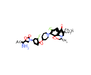 CC(=O)C(N)C1CN(c2ccc(OC3CCCN(c4c(F)cc5c(=O)c(C(=O)O)cn6c5c4OCC6C)CC3)c(F)c2)C(=O)O1